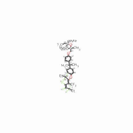 CCC(F)(F)/C(F)=C(F)\C(=C(\Oc1ccc(C(C)(C)c2ccc(OC[Si](C)(OC)O[Si](CC(F)(F)F)(OC)OC)cc2)cc1)C(F)(F)CC)C(F)(F)F